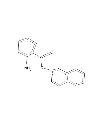 Nc1ccccc1C(=O)Oc1ccc2ccccc2c1